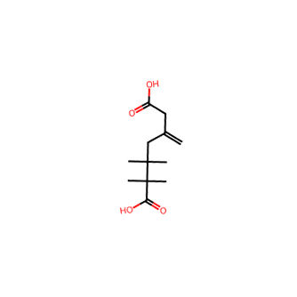 C=C(CC(=O)O)CC(C)(C)C(C)(C)C(=O)O